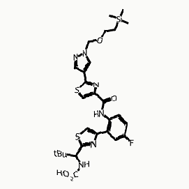 CC(C)(C)C(NC(=O)O)c1nc(-c2cc(F)ccc2NC(=O)c2csc(-c3cnn(COCC[Si](C)(C)C)c3)n2)cs1